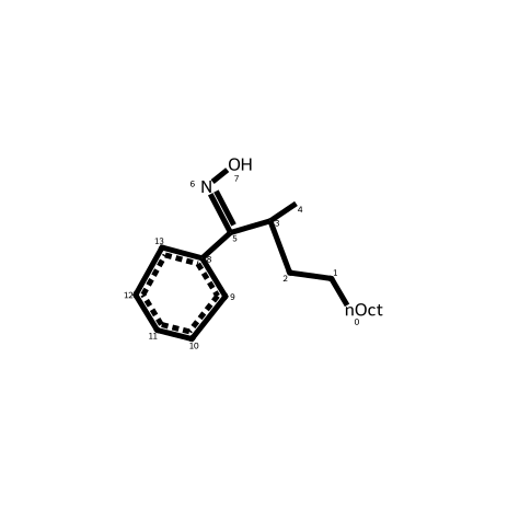 CCCCCCCCCCC(C)C(=NO)c1ccccc1